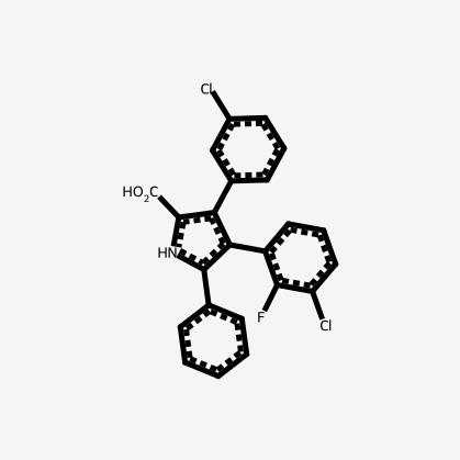 O=C(O)c1[nH]c(-c2ccccc2)c(-c2cccc(Cl)c2F)c1-c1cccc(Cl)c1